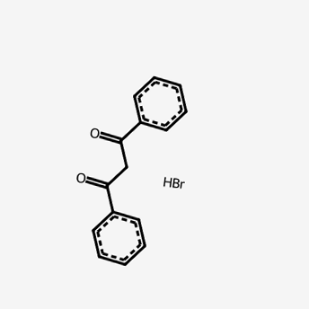 Br.O=C(CC(=O)c1ccccc1)c1ccccc1